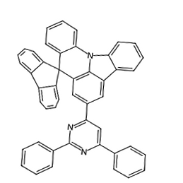 c1ccc(-c2cc(-c3cc4c5c(c3)c3ccccc3n5-c3ccccc3C43c4ccccc4-c4ccccc43)nc(-c3ccccc3)n2)cc1